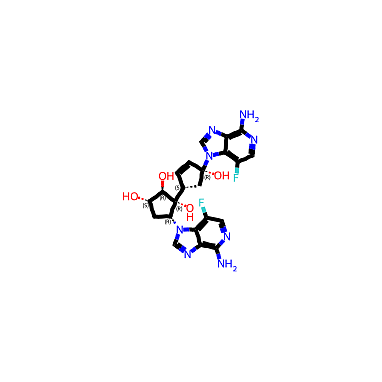 Nc1ncc(F)c2c1ncn2[C@@H]1C[C@H](O)[C@@H](O)[C@@]1(O)[C@@H]1C=C[C@@](O)(n2cnc3c(N)ncc(F)c32)C1